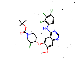 COc1cc2ncnc(Nc3ccc(Cl)c(Cl)c3F)c2cc1O[C@H]1CCN(C(=O)OC(C)(C)C)C[C@@H]1F